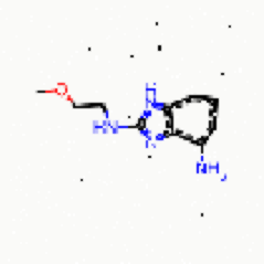 COCCNc1nc2c(N)cccc2[nH]1